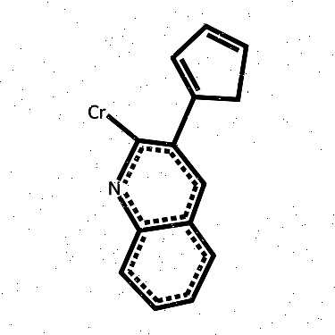 [Cr][c]1nc2ccccc2cc1C1=CC=CC1